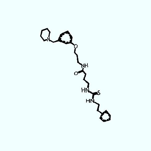 O=C(CCCNC(=S)NCCc1ccccc1)NCCCOc1cccc(CN2CCCCC2)c1